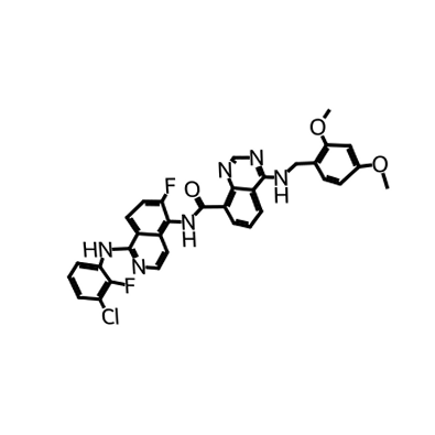 COc1ccc(CNc2ncnc3c(C(=O)Nc4c(F)ccc5c(Nc6cccc(Cl)c6F)nccc45)cccc23)c(OC)c1